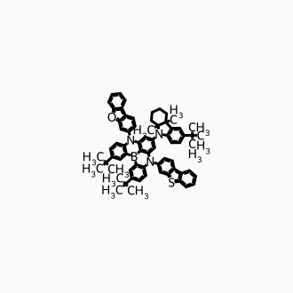 CC(C)(C)c1ccc2c(c1)B1c3cc(C(C)(C)C)ccc3N(c3ccc4c(c3)sc3ccccc34)c3cc(N4c5ccc(C(C)(C)C)cc5C5(C)CCCCC45C)cc(c31)N2c1ccc2c(c1)oc1ccccc12